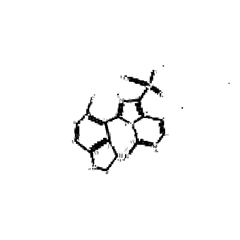 CS(=O)(=O)c1nc(-c2c(F)ccc3c2CCO3)n2c(N)nccc12